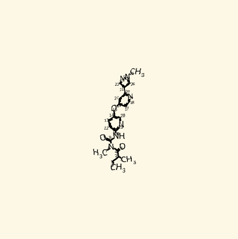 CCC(C)C(=O)N(C)C(=O)Nc1ccc(Oc2ccnc(-c3cnn(C)c3)c2)cn1